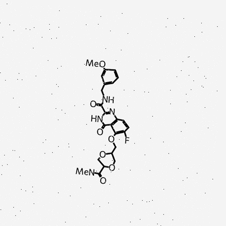 CNC(=O)C1COC(COc2c(F)ccc3nc(C(=O)NCc4cccc(OC)c4)[nH]c(=O)c23)CO1